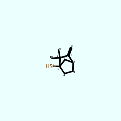 C=C1C2CCC(S)(C2)C1(C)C